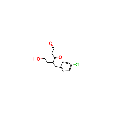 O=CCC(=O)C(CCO)Cc1ccc(Cl)cc1